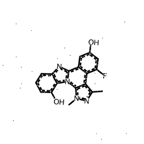 Cc1nn(C)c2c1c1c(F)cc(O)cc1c1nc3cccc(O)c3n12